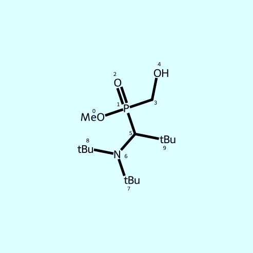 COP(=O)(CO)C(N(C(C)(C)C)C(C)(C)C)C(C)(C)C